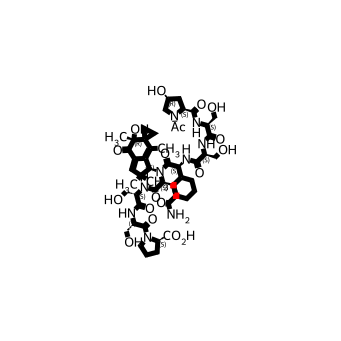 CC(=O)N1C[C@H](O)C[C@H]1C(=O)N[C@@H](CO)C(=O)N[C@@H](CO)C(=O)N[C@H](C(=O)N([C@@H](CCC(N)=O)C(=O)N[C@@H](CO)C(=O)N[C@@H](CO)C(=O)N1CCC[C@H]1C(=O)O)[C@@H]1C2=C(C)C3(CC3)[C@@](C)(O)C(=O)C2=CC1(C)C)C1CCCCC1